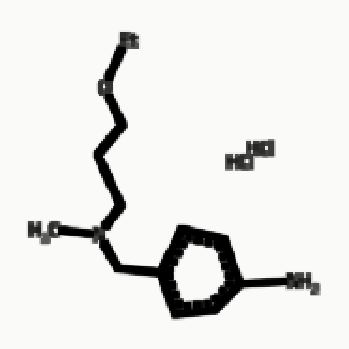 CCOCCCN(C)Cc1ccc(N)cc1.Cl.Cl